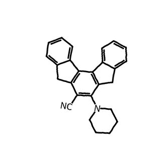 N#Cc1c2c(c3c(c1N1CCCCC1)Cc1ccccc1-3)-c1ccccc1C2